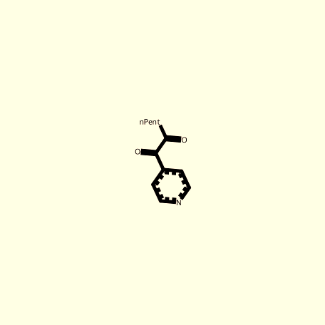 CCCCCC(=O)C(=O)c1ccncc1